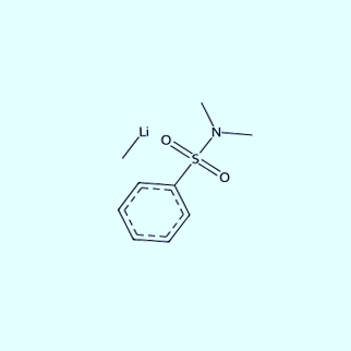 CN(C)S(=O)(=O)c1ccccc1.[Li][CH3]